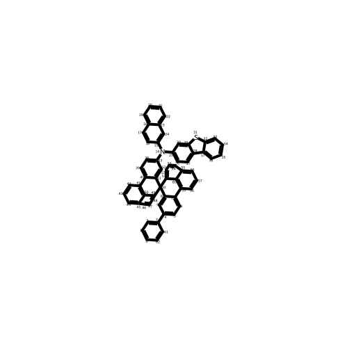 c1ccc(-c2ccc3c(c2)C2(c4cc(N(c5ccc6ccccc6c5)c5ccc6c(c5)sc5ccccc56)ccc4-c4cccc5cccc2c45)c2cccc4cccc-3c24)cc1